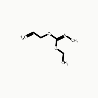 C=CCOC(=NC)OCC